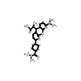 C=C(C(=O)O)C1c2ccc(-c3ccc(C(=O)N(C)C)cc3)nc2Oc2nc(N(C)C)ccc21